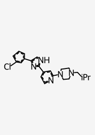 CC(C)CN1CCN(c2cc(-c3nc(-c4cccc(Cl)c4)c[nH]3)ccn2)CC1